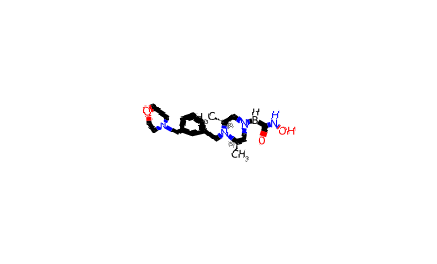 C[C@@H]1CN(BC(=O)NO)C[C@H](C)N1Cc1cccc(CN2CCOCC2)c1